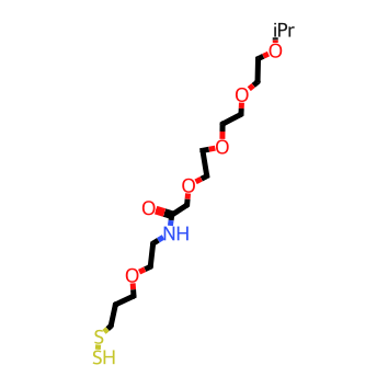 CC(C)OCCOCCOCCOCC(=O)NCCOCCCSS